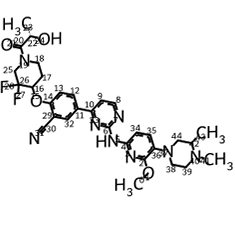 COc1nc(Nc2nccc(-c3ccc(OC4CCN(C(=O)[C@H](C)O)CC4(F)F)c(C#N)c3)n2)ccc1N1CCN(C)[C@H](C)C1